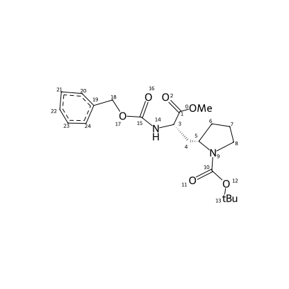 COC(=O)[C@H](C[C@@H]1CCCN1C(=O)OC(C)(C)C)NC(=O)OCc1ccccc1